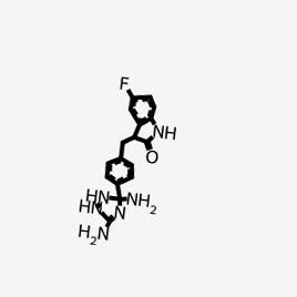 NC1=NC(N)(c2ccc(CC3C(=O)Nc4ccc(F)cc43)cc2)NN1